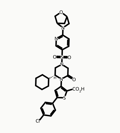 O=C(O)c1sc(-c2ccc(Cl)cc2)cc1N1C(=O)CN(S(=O)(=O)c2ccc(N3CC4CC3CO4)nc2)C[C@H]1C1CCCCC1